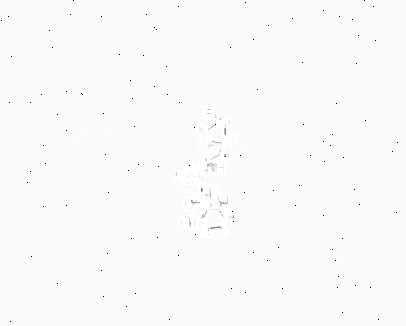 O=C(N[C@H]1CCC[C@H]1Nc1nc2ccc(F)cc2s1)c1c(Cl)cccc1Cl